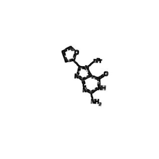 CCCn1c(-c2ccco2)nc2nc(N)[nH]c(=O)c21